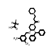 O=C(CCN1CCCCC1)N1CC[C@@H](OCc2cc(C(F)(F)F)cc(C(F)(F)F)c2)[C@@H](C(c2ccccc2)c2ccccc2)C1.O=C(O)C(F)(F)F